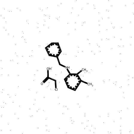 Cc1cccc(NCc2ccccc2)c1C.O=C(O)CCl